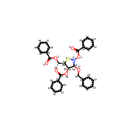 O=C(OC[C@H]1SN(OC(=O)c2ccccc2)[C@@H](OCc2ccccc2)[C@H]1OC(=O)c1ccccc1)c1ccccc1